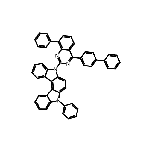 c1ccc(-c2ccc(-c3nc(-n4c5ccccc5c5c6c7ccccc7n(-c7ccccc7)c6ccc54)nc4c(-c5ccccc5)cccc34)cc2)cc1